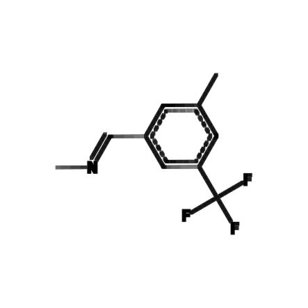 C/N=C/c1cc(C)cc(C(F)(F)F)c1